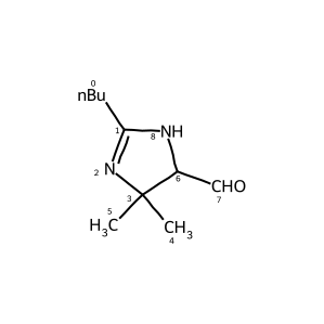 CCCCC1=NC(C)(C)C(C=O)N1